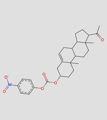 CC(=O)C1CCC2C3CC=C4CC(OC(=O)Oc5ccc([N+](=O)[O-])cc5)CCC4(C)C3CCC12C